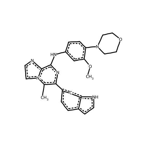 COc1cc(Nc2nc(-c3ccc4cc[nH]c4c3)c(C)n3ccnc23)ccc1N1CCOCC1